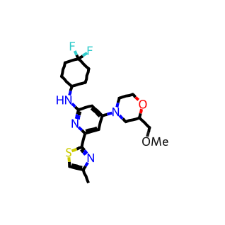 COCC1CN(c2cc(NC3CCC(F)(F)CC3)nc(-c3nc(C)cs3)c2)CCO1